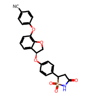 N#Cc1ccc(Oc2cccc3c2OC[C@H]3Oc2ccc(C3CC(=O)NS3(=O)=O)cc2)cc1